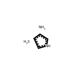 N.S.c1cc[nH]c1